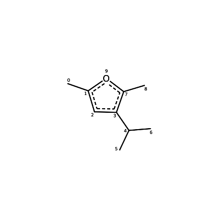 Cc1cc(C(C)C)c(C)o1